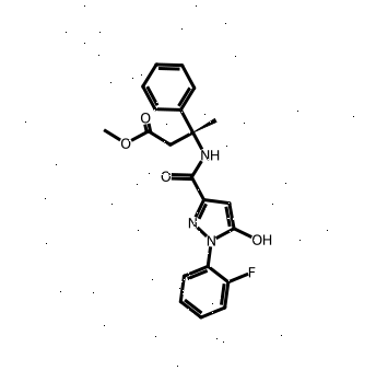 COC(=O)C[C@@](C)(NC(=O)c1cc(O)n(-c2ccccc2F)n1)c1ccccc1